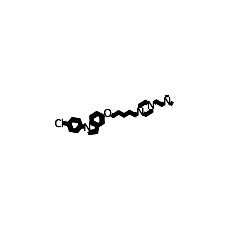 CN(C)CCN1CCN(CCCCCOc2ccc3c(ccn3-c3ccc(Cl)cc3)c2)CC1